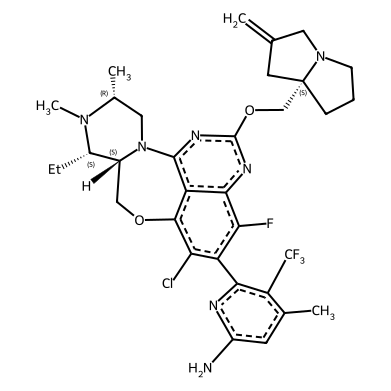 C=C1CN2CCC[C@@]2(COc2nc3c4c(c(Cl)c(-c5nc(N)cc(C)c5C(F)(F)F)c(F)c4n2)OC[C@@H]2[C@H](CC)N(C)[C@H](C)CN32)C1